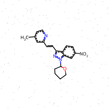 Cc1ccnc(C=Cc2nn(C3CCCCO3)c3cc([N+](=O)[O-])ccc23)c1